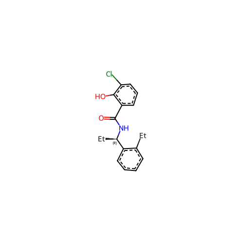 CCc1ccccc1[C@@H](CC)NC(=O)c1cccc(Cl)c1O